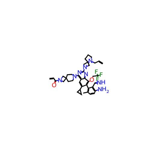 C=CCN1CCCC12CN(c1nc(N3CCC4(CC3)CN(C(=O)C=C)C4)c3cc(C4CC4)c(-c4c(C)ccc(N)c4C=N)c(OCC(F)(F)F)c3n1)C2